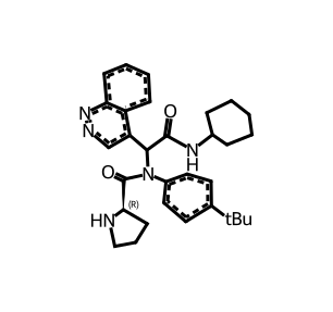 CC(C)(C)c1ccc(N(C(=O)[C@H]2CCCN2)C(C(=O)NC2CCCCC2)c2cnnc3ccccc23)cc1